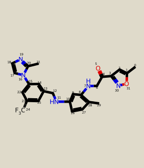 Cc1cc(C(=O)CNc2cc(NCc3cc(-n4ccnc4C)cc(C(F)(F)F)c3)ccc2C)no1